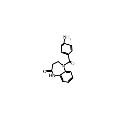 Nc1ccc(C(=O)N2CCC(=O)Nc3ccccc32)cc1